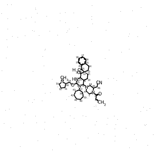 C=CC(=O)N1CCN(C2C3CC[C@@]4(CCc5ccccc5C4C)C(=O)C3NC(OCC3CCCN3C)N2C2CCCCCC2)CC1CC#N